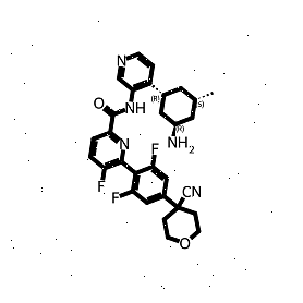 C[C@@H]1C[C@@H](N)C[C@H](c2ccncc2NC(=O)c2ccc(F)c(-c3c(F)cc(C4(C#N)CCOCC4)cc3F)n2)C1